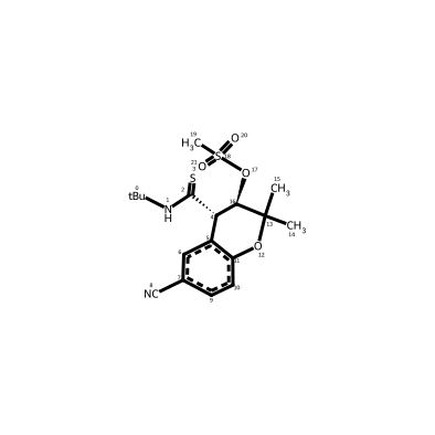 CC(C)(C)NC(=S)[C@H]1c2cc(C#N)ccc2OC(C)(C)[C@@H]1OS(C)(=O)=O